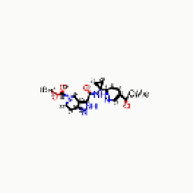 COC(=O)c1ccc(C2(NC(=O)c3[nH]nc4c3CN(C(=O)OC(C)(C)C)CC4)CC2)nc1